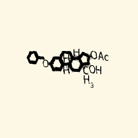 CC(=O)O[C@@H]1C[C@H]2[C@@H]3CCc4cc(OCc5ccccc5)ccc4[C@H]3CC[C@]2(C)[C@H]1O